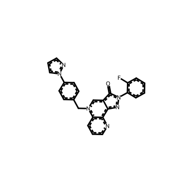 O=c1c2cn(Cc3ccc(-n4cccn4)cc3)c3cccnc3c-2nn1-c1ccccc1F